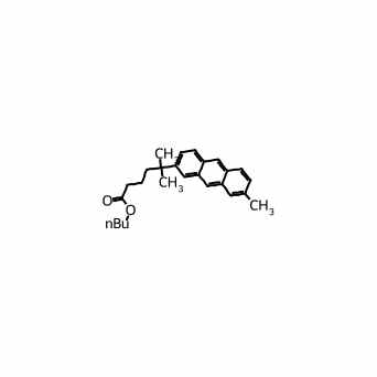 CCCCOC(=O)CCCC(C)(C)c1ccc2cc3ccc(C)cc3cc2c1